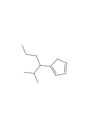 CCCC(C1=CC=CC1)C(C)C